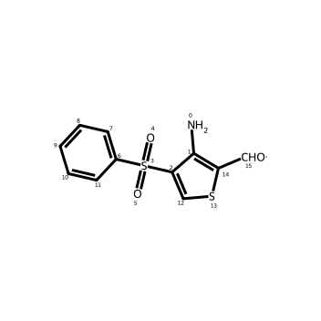 Nc1c(S(=O)(=O)c2ccccc2)csc1[C]=O